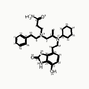 CC(CN(CCC(N)=O)CCc1ccccc1)N(CCc1ccc(O)c2[nH]c(=O)sc12)C1CCCCC1